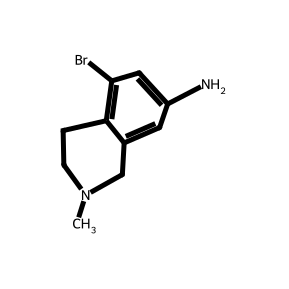 CN1CCc2c(Br)cc(N)cc2C1